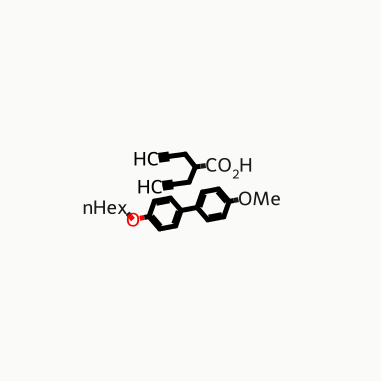 C#CCC(CC#C)C(=O)O.CCCCCCOc1ccc(-c2ccc(OC)cc2)cc1